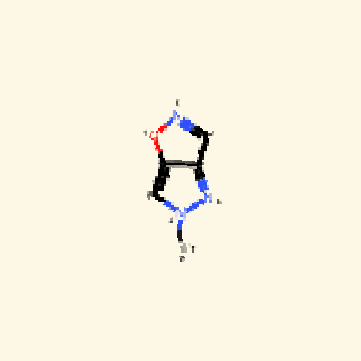 CC(C)n1cc2oncc2n1